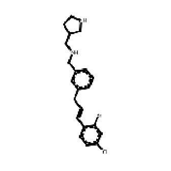 Clc1ccc(/C=C/Cc2cccc(CNCC3CCNC3)c2)c(Br)c1